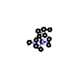 c1ccc(-c2cccc([Si](c3ccccc3)(c3ccccc3)c3cccc(-c4cc(-n5c6ccccc6c6ccc7c(c8ccccc8n7-c7ccccc7)c65)nc(-n5c6ccccc6c6ccccc65)n4)c3)c2)cc1